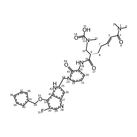 CN(C)C(=O)/C=C/CC[C@@H](CN(C)C(=O)O)C(=O)Nc1cccn(Cc2cc3ncc(F)c(OCc4ccccc4)c3[nH]2)c1=O